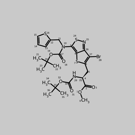 COC(=O)[C@H](Cc1sc2c(N(Cc3cccs3)C(=O)OC(C)(C)C)snc2c1Br)NC(=O)OC(C)(C)C